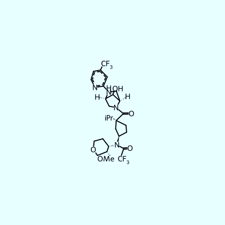 CO[C@@H]1COCC[C@@H]1N(C(=O)C(F)(F)F)[C@@H]1CC[C@@](C(=O)N2C[C@@H]3[C@@H](O)[C@H]2CN3c2cc(C(F)(F)F)ccn2)(C(C)C)C1